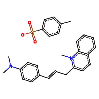 CN(C)c1ccc(C=CCc2ccc3ccccc3[n+]2C)cc1.Cc1ccc(S(=O)(=O)[O-])cc1